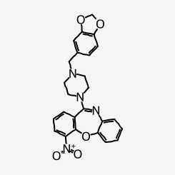 O=[N+]([O-])c1cccc2c1Oc1ccccc1N=C2N1CCN(Cc2ccc3c(c2)OCO3)CC1